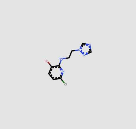 Clc1ccc(Br)c(NCCn2cncn2)n1